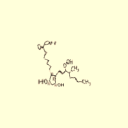 CCCCC(C)C(C=C[C@@H]1[C@@H](CCCCCCC(=O)O)[C@@H](O)C[C@H]1O)OO